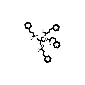 S=C(CCc1ccccc1)OCC(COC(=S)CCc1ccccc1)(COC(=S)CCc1ccccc1)COC(=S)CCc1ccccc1